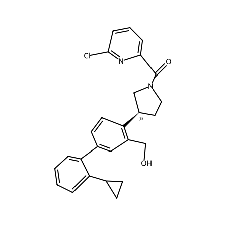 O=C(c1cccc(Cl)n1)N1CC[C@@H](c2ccc(-c3ccccc3C3CC3)cc2CO)C1